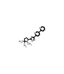 CN1C(c2nc(-c3ccc(-c4ccccn4)cn3)no2)CCC1(C)C